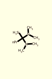 CCCC([SiH3])(N(C)C)N(C)C